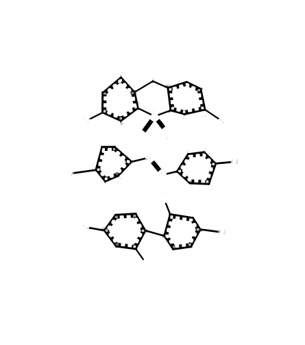 Nc1ccc(-c2ccc(N)cc2S(=O)(=O)O)c(S(=O)(=O)O)c1.Nc1ccc(/N=N/c2ccc(N)cc2)cc1.Nc1ccc2c(c1)S(=O)(=O)c1cc(N)ccc1C2